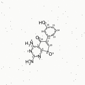 Nc1nc(N)c2c(n1)C(=O)C=C(c1cccc(O)c1)C2=O